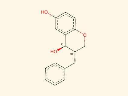 Oc1ccc2c(c1)[C@H](O)[C@@H](Cc1ccccc1)CO2